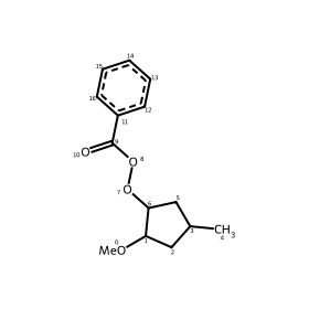 COC1CC(C)CC1OOC(=O)c1ccccc1